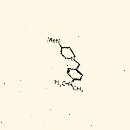 CNC1CCN(Cc2ccc(N(C)C)cc2)CC1